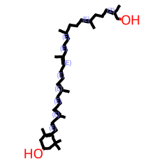 CC1=C(/C=C/C(C)=C/C=C/C(C)=C/C=C/C=C(C)/C=C/C=C(\C)CC/C=C(\C)CC/C=C(/C)CO)C(C)(C)CC(O)C1